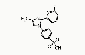 CS(=O)(=O)c1ccc(-n2cc(C(F)(F)F)nc2-c2cccc(F)n2)cc1